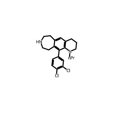 CCCN1CCCc2cc3c(c(-c4ccc(Cl)c(Cl)c4)c21)CCNCC3